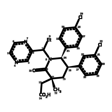 CCC(c1cnccn1)N1C(=O)[C@@](C)(CC(=O)O)C[C@H](c2cccc(Cl)c2)[C@H]1c1ccc(Cl)cc1